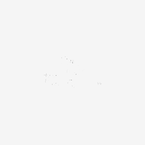 CC(C)O[C@@H]1C[C@H](S(=O)(=O)c2ccc(Br)cc2C(F)(F)F)C[C@@]1(C(=O)O)C1CC1(C#N)C(N)=O